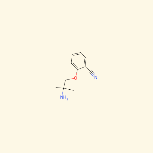 CC(C)(N)COc1ccccc1C#N